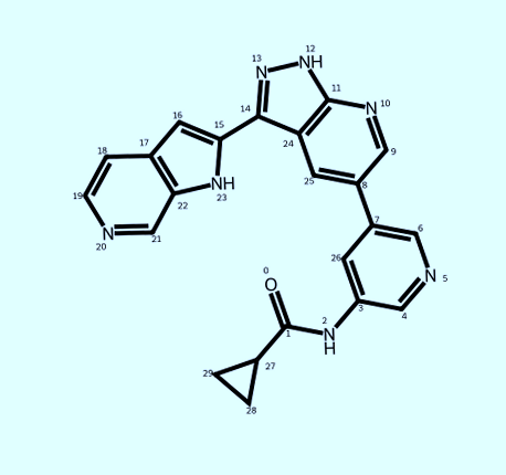 O=C(Nc1cncc(-c2cnc3[nH]nc(-c4cc5ccncc5[nH]4)c3c2)c1)C1CC1